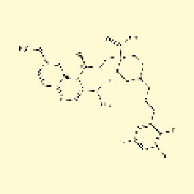 COc1ccc2ncc(N(C)C)c([C@@H](O)CCC3(C(=O)O)CCN(CCCc4cc(F)cc(F)c4F)CC3)c2c1